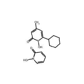 Cc1cc(C2CCCCC2)n(O)c(=O)c1.O=c1ccccn1O